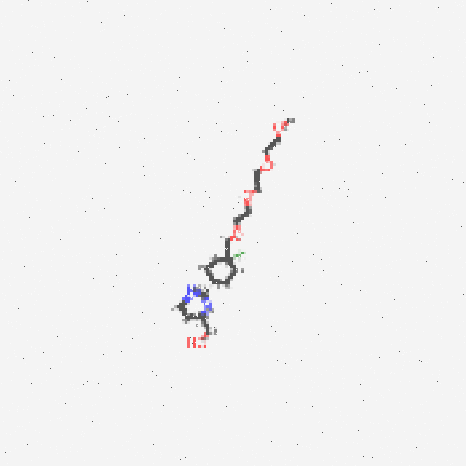 COCCOCCOCCOC[C@]1(F)CC[C@H](c2nccc(CO)n2)CC1